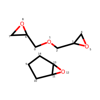 C(OCC1CO1)C1CO1.C1CC2OC2C1